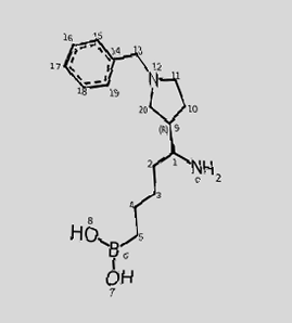 NC(CCCCB(O)O)[C@@H]1CCN(Cc2ccccc2)C1